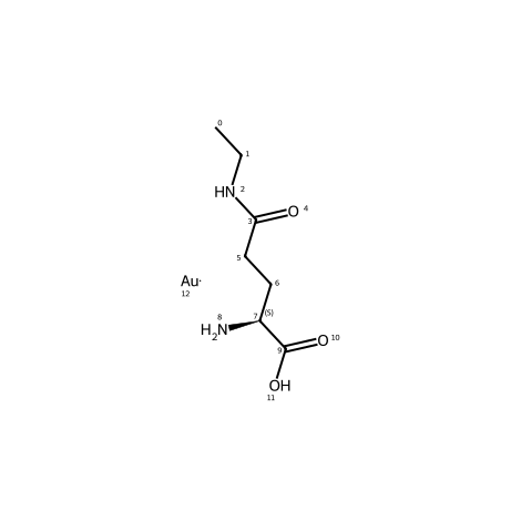 CCNC(=O)CC[C@H](N)C(=O)O.[Au]